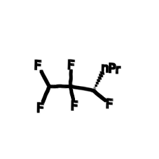 [CH2]CC[C@H](F)C(F)(F)C(F)F